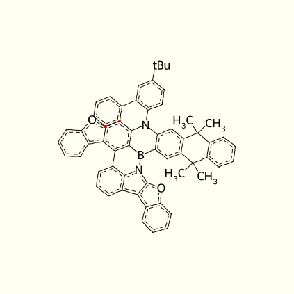 CC(C)(C)c1ccc(N2c3cc4c(cc3B3c5c2cc2oc6ccccc6c2c5-c2cccc5c6c7ccccc7oc6n3c25)C(C)(C)c2ccccc2C4(C)C)c(-c2ccccc2)c1